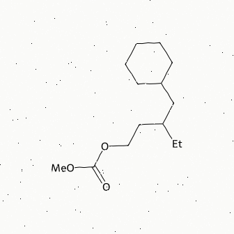 CCC(CCOC(=O)OC)CC1CCCCC1